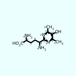 Cc1nc(C(N)CCC(N)C(=O)O)nc(C)c1O